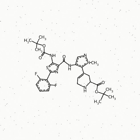 Cn1ncc(NC(=O)c2nc(-c3c(F)cccc3F)sc2NC(=O)OC(C)(C)C)c1C1=CCNC(C(=O)OC(C)(C)C)C1